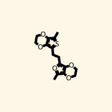 Cc1oc(CCc2sc(C)c3c2OCCO3)c2c1OCCO2